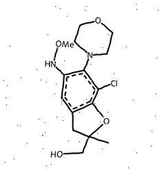 CONc1cc2c(c(Cl)c1N1CCOCC1)OC(C)(CO)C2